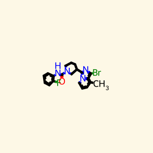 Cc1cccn2c(C3CCCN(C(=O)Nc4ccccc4F)C3)nc(Br)c12